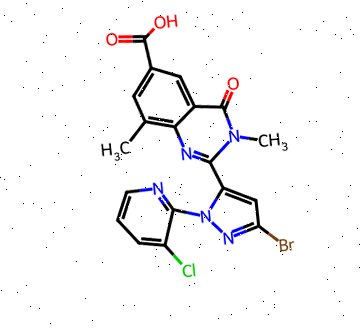 Cc1cc(C(=O)O)cc2c(=O)n(C)c(-c3cc(Br)nn3-c3ncccc3Cl)nc12